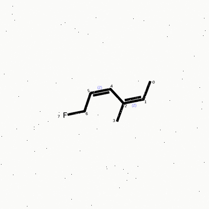 C/C=C(C)\C=C/CF